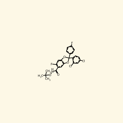 CC(C)(C)ONC(=O)c1cc2c(cc1F)OC(c1ccc(F)cc1)(c1ccc(Cl)cc1Cl)O2